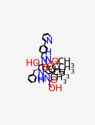 CC(C)(C)OC(=O)NN(Cc1ccc(-c2ccccn2)cc1)C[C@H](O)[C@H](Cc1ccccc1)NC(=O)[C@@H](NC(=O)CO)C(C)(C)C